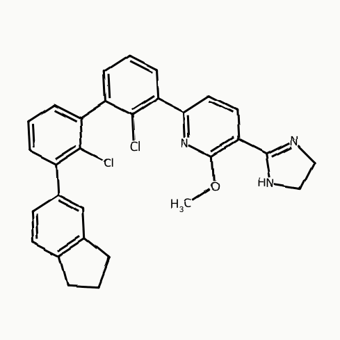 COc1nc(-c2cccc(-c3cccc(-c4ccc5c(c4)CCC5)c3Cl)c2Cl)ccc1C1=NCCN1